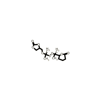 CC(C)(OCC1COC(=O)O1)SOC(C)(C)C1CCCC(=O)O1